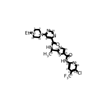 CCN1CCN(c2cc(C(=O)NC(C)c3ncc(C(=O)Nc4cc(C(F)(F)F)c(Cl)cn4)s3)ncn2)CC1